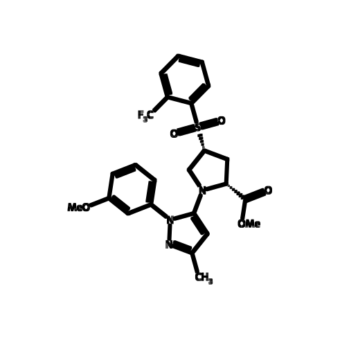 COC(=O)[C@H]1C[C@@H](S(=O)(=O)c2ccccc2C(F)(F)F)CN1c1cc(C)nn1-c1cccc(OC)c1